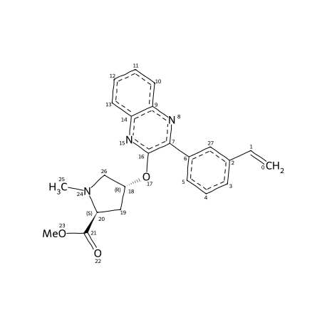 C=Cc1cccc(-c2nc3ccccc3nc2O[C@@H]2C[C@@H](C(=O)OC)N(C)C2)c1